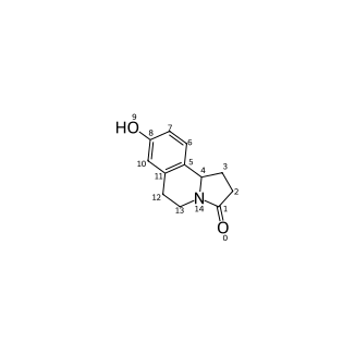 O=C1CCC2c3ccc(O)cc3CCN12